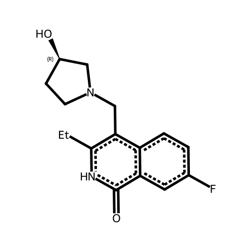 CCc1[nH]c(=O)c2cc(F)ccc2c1CN1CC[C@@H](O)C1